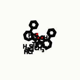 Cc1cc2c(-c3ccccc3)ccccc-2[c]1[Ti]([CH3])([CH3])(=[SiH2])[c]1c(C)cc2c(-c3ccccc3)ccccc1-2.Cl.Cl